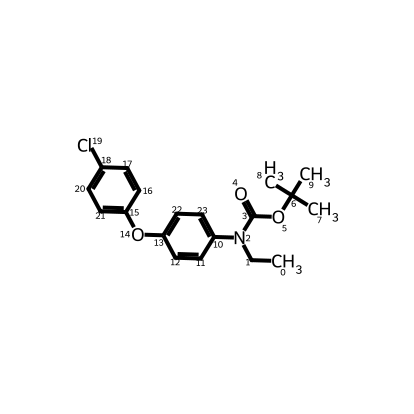 CCN(C(=O)OC(C)(C)C)c1ccc(Oc2ccc(Cl)cc2)cc1